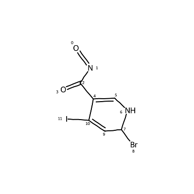 O=NC(=O)C1=CNC(Br)C=C1I